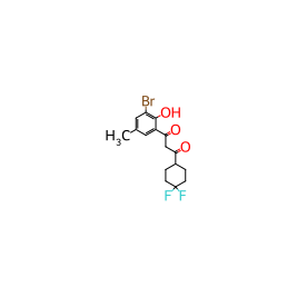 Cc1cc(Br)c(O)c(C(=O)CC(=O)C2CCC(F)(F)CC2)c1